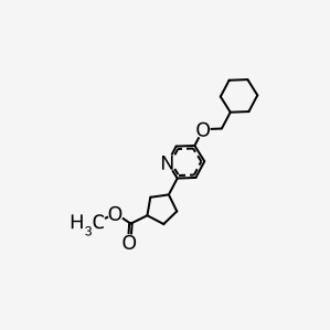 COC(=O)C1CCC(c2ccc(OCC3CCCCC3)cn2)C1